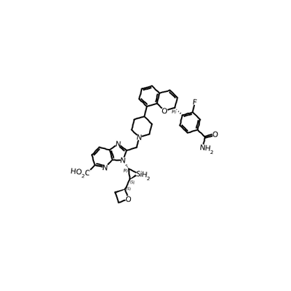 NC(=O)c1ccc([C@H]2C=Cc3cccc(C4CCN(Cc5nc6ccc(C(=O)O)nc6n5[C@@H]5[SiH2][C@H]5[C@@H]5CCO5)CC4)c3O2)c(F)c1